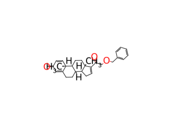 C[C@]12C=CC(=O)C=C1CC[C@@H]1[C@@H]2CC[C@]2(C)C(C(=O)COCc3ccccc3)=CC[C@@H]12